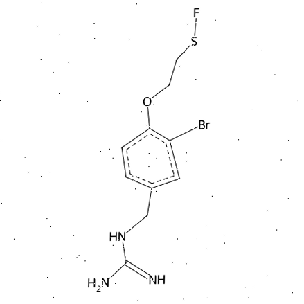 N=C(N)NCc1ccc(OCCSF)c(Br)c1